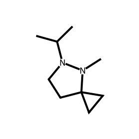 CC(C)N1CCC2(CC2)N1C